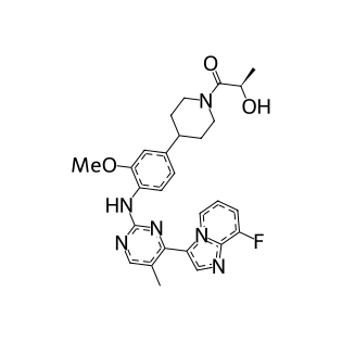 COc1cc(C2CCN(C(=O)[C@@H](C)O)CC2)ccc1Nc1ncc(C)c(-c2cnc3c(F)cccn23)n1